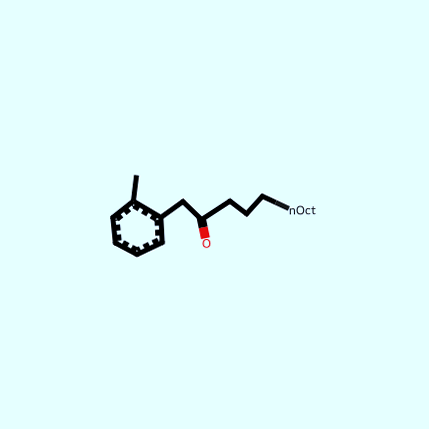 CCCCCCCCCCCC(=O)Cc1ccccc1C